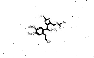 CCCc1nc(C(C[N+](=O)[O-])c2cc(OC)c(OC)cc2CCO)c(COC(=O)C(C)(C)C)o1